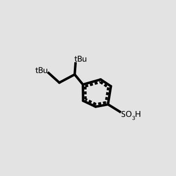 CC(C)(C)CC(c1ccc(S(=O)(=O)O)cc1)C(C)(C)C